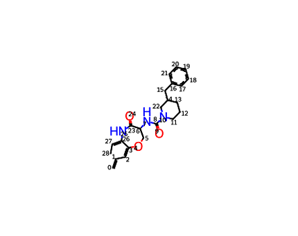 C=C/C=C1/OC[C@H](NC(=O)N2CCCC(Cc3ccccc3)C2)C(=O)N/C1=C/C